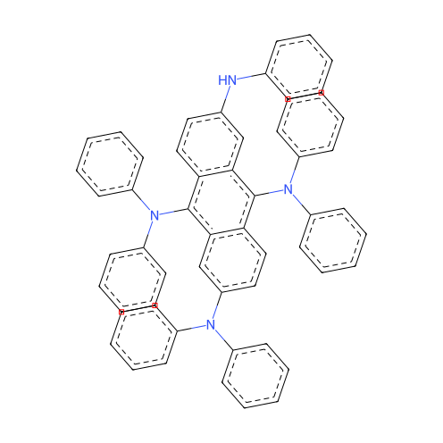 c1ccc(Nc2ccc3c(N(c4ccccc4)c4ccccc4)c4cc(N(c5ccccc5)c5ccccc5)ccc4c(N(c4ccccc4)c4ccccc4)c3c2)cc1